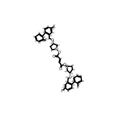 O=C(/C=C/C(=O)ON1CC[C@H](OCc2cc(F)ccc2-c2ccccc2F)C1)ON1CC[C@H](OCc2cc(F)ccc2-c2ccccc2F)C1